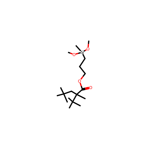 CO[Si](C)(CCCOC(=O)C(C)(CC(C)(C)C)C(C)(C)C)OC